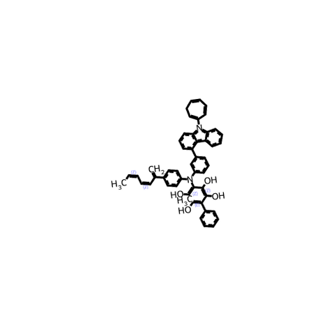 C=C(/C=C\C=C/C)c1ccc(N(C(=C\O)/C(O)=C(O)\C(=C(/C)O)c2ccccc2)c2cccc(-c3cccc4c3c3ccccc3n4C3=CCC=CC=C3)c2)cc1